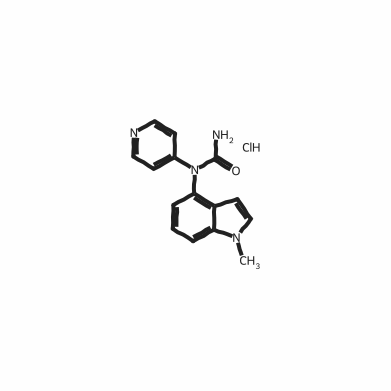 Cl.Cn1ccc2c(N(C(N)=O)c3ccncc3)cccc21